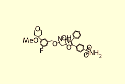 COC1(c2cc(F)cc(COC(Cc3nc(-c4ccccc4)c(-c4ccc(S(N)(=O)=O)cc4)o3)=NO)c2)CCOCC1